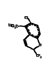 O=C(O)c1c(Cl)ccc2c1C=CC(C(F)(F)F)O2